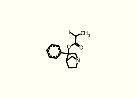 CC(I)C(=O)OC1(c2ccccc2)CN2CCC1C2